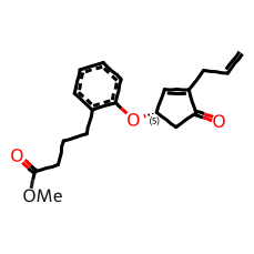 C=CCC1=C[C@@H](Oc2ccccc2CCCC(=O)OC)CC1=O